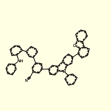 N#Cc1cc(-c2cccc(-c3ccccc3Nc3ccccc3)c2)cc(-c2ccc3c(c2)c2ccc(-c4cccc5c4oc4ccccc45)cc2n3-c2ccccc2)c1